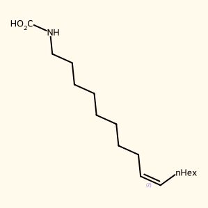 CCCCCC/C=C\CCCCCCCCNC(=O)O